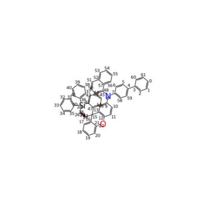 c1ccc(-c2ccc(N(c3ccc4c(c3)C3(c5ccccc5O4)c4ccccc4[Si](c4ccccc4)(c4ccccc4)c4ccccc43)c3cccc4ccccc34)cc2)cc1